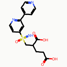 N=S(=O)(CC(CCC(=O)O)C(=O)O)c1ccnc(-c2ccncc2)c1